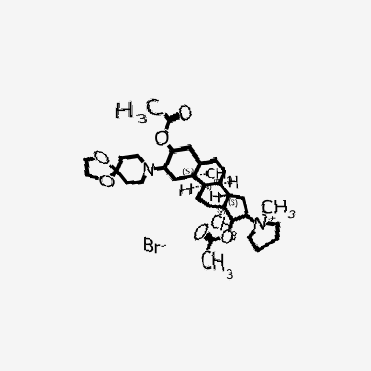 CC(=O)OC1CC2CC[C@@H]3[C@@H](CC[C@]4(C)C(OC(C)=O)C([N+]5(C)CCCC5)C[C@@H]34)[C@@]2(C)CC1N1CCC2(CC1)OCCO2.[Br-]